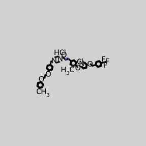 Cc1ccc(OCCOc2ccc(CN3CCN(C(=O)/C=C/c4cc(C)c(Oc5ccc(OCc6ccc(C(F)(F)F)cc6)cn5)c(Cl)c4)CC3)cc2)cc1.Cl